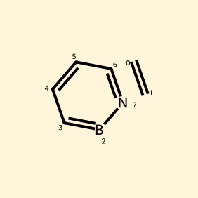 C=C.b1ccccn1